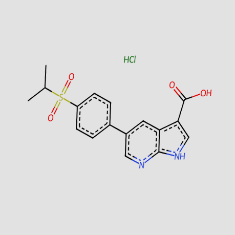 CC(C)S(=O)(=O)c1ccc(-c2cnc3[nH]cc(C(=O)O)c3c2)cc1.Cl